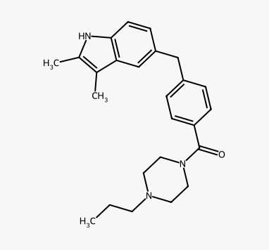 CCCN1CCN(C(=O)c2ccc(Cc3ccc4[nH]c(C)c(C)c4c3)cc2)CC1